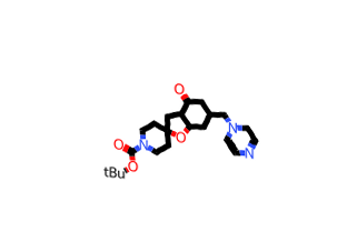 CC(C)(C)OC(=O)N1CCC2(CC1)CC1C(=O)CC(CN3C=CN=CC3)CC1O2